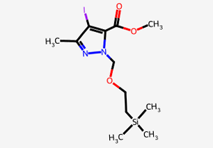 COC(=O)c1c(I)c(C)nn1COCC[Si](C)(C)C